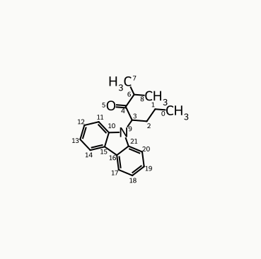 CCCC(C(=O)C(C)C)n1c2ccccc2c2ccccc21